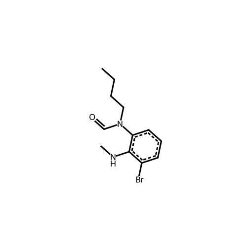 CCCCN(C=O)c1cccc(Br)c1NC